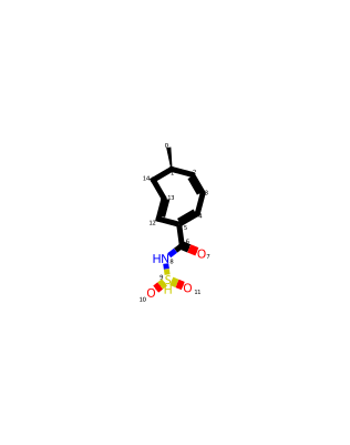 C[C@H]1\C=C/C=C(C(=O)N[SH](=O)=O)\C=C\C1